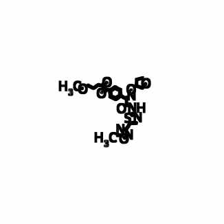 COCCCS(=O)(=O)c1ccc(/C(=N\O[C@@H]2CCOC2)C(=O)Nc2ncc(-c3noc(C)n3)s2)cc1